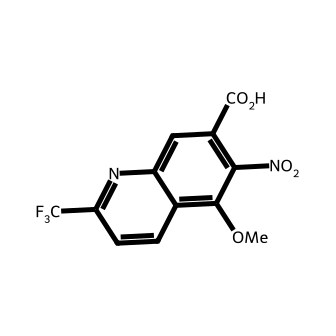 COc1c([N+](=O)[O-])c(C(=O)O)cc2nc(C(F)(F)F)ccc12